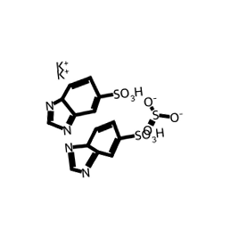 O=S(=O)(O)C1=CC2=NC=NC2C=C1.O=S(=O)(O)C1=CC2=NC=NC2C=C1.O=S([O-])[O-].[K+].[K+]